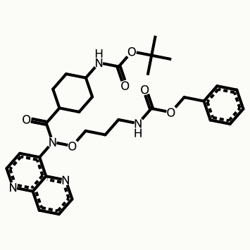 CC(C)(C)OC(=O)NC1CCC(C(=O)N(OCCCNC(=O)OCc2ccccc2)c2ccnc3cccnc23)CC1